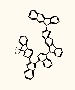 CC1(C)c2ccccc2-c2ccc(-c3nc4ccccc4nc3-c3ccc(-n4c5ccccc5c5cc6cc(-n7c8ccccc8c8cc9ccccc9cc87)ccc6cc54)c4ccccc34)cc21